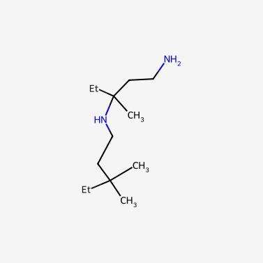 CCC(C)(C)CCNC(C)(CC)CCN